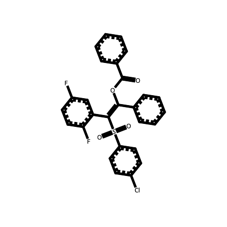 O=C(O/C(=C(\c1cc(F)ccc1F)S(=O)(=O)c1ccc(Cl)cc1)c1ccccc1)c1ccccc1